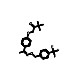 CC(=NOCc1ccc(C(F)(F)F)cc1)c1ccc(OCC(=O)C(C)(C)C)cc1